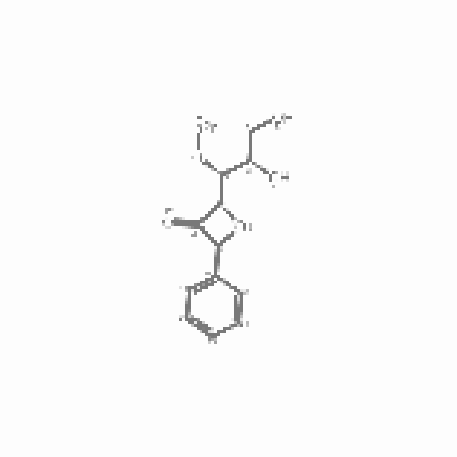 CCCO[C@@H]([C@H](O)CO)[C@H]1OC(c2ccccc2)C1=O